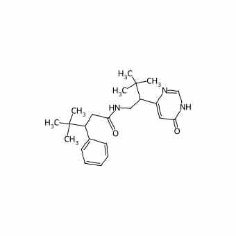 CC(C)(C)C(CC(=O)NCC(c1cc(=O)[nH]cn1)C(C)(C)C)c1ccccc1